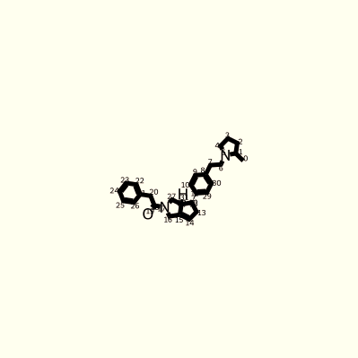 CC1CCCN1CCc1ccc([C@@H]2CC=C3CN(C(=O)Cc4ccccc4)C[C@@H]32)cc1